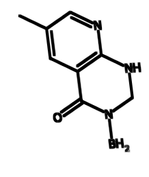 BN1CNc2ncc(C)cc2C1=O